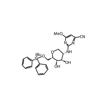 COc1cc(C#N)nc(N[C@H]2CO[C@H](CO[Si](c3ccccc3)(c3ccccc3)C(C)(C)C)[C@H](O)[C@@H]2O)n1